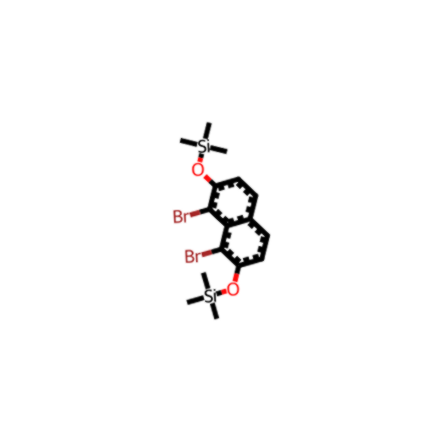 C[Si](C)(C)Oc1ccc2ccc(O[Si](C)(C)C)c(Br)c2c1Br